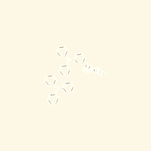 [C]=O.[C]=O.[H-].[H-].[H-].[Rh+3].c1ccc(P(c2ccccc2)c2ccccc2)cc1.c1ccc(P(c2ccccc2)c2ccccc2)cc1